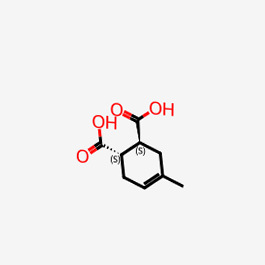 CC1=CC[C@H](C(=O)O)[C@@H](C(=O)O)C1